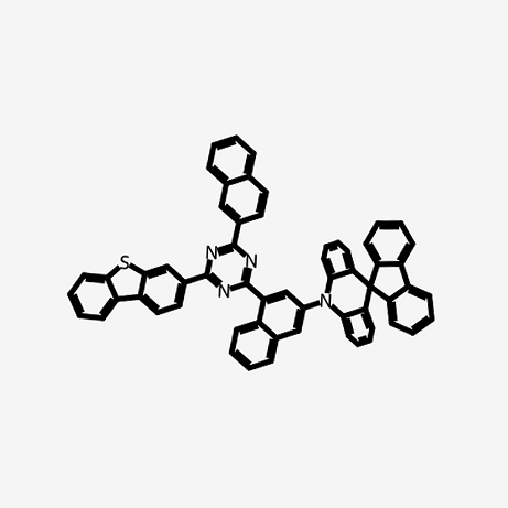 c1ccc2c(c1)-c1ccccc1C21c2ccccc2N(c2cc(-c3nc(-c4ccc5ccccc5c4)nc(-c4ccc5c(c4)sc4ccccc45)n3)c3ccccc3c2)c2ccccc21